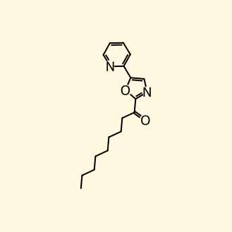 CCCCCCCCC(=O)c1ncc(-c2ccccn2)o1